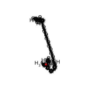 CN1CCN(c2ccc(-c3cccc(CN4CCN(CCNC(=O)CCOCCOCCOCCOCCOCCOCCOCCOCCOCCNc5cccc6c5C(=O)N(C5CCC(=O)NC5=O)C6=O)CC4)c3)cc2NC(=O)c2c[nH]c(=O)cc2C(F)(F)F)CC1